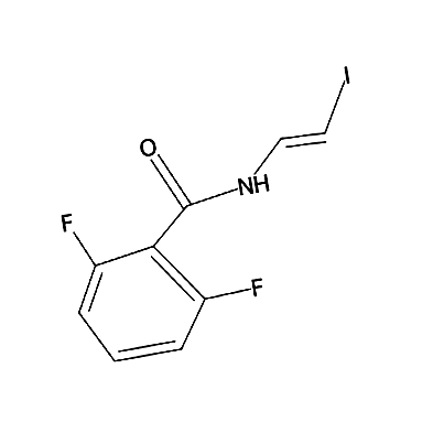 O=C(NC=CI)c1c(F)cccc1F